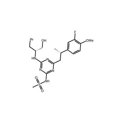 COc1ccc([C@@H](C)Cc2nc(N[C@@H](CO)CC(C)C)nc(NS(C)(=O)=O)n2)cc1F